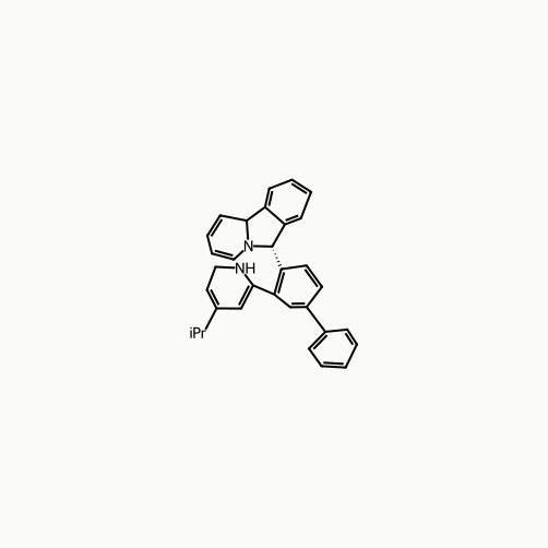 CC(C)C1=CCNC(c2cc(-c3ccccc3)ccc2[C@H]2c3ccccc3C3C=CC=CN32)=C1